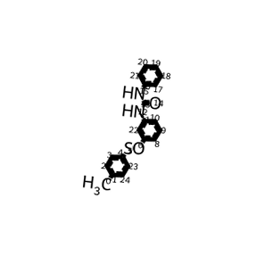 Cc1ccc(SOc2cccc(NC(=O)Nc3ccccc3)c2)cc1